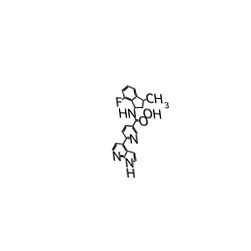 CC1c2cccc(F)c2C(NC(=O)c2ccc(-c3ccnc4[nH]ccc34)nc2)C1O